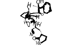 C[C@@](O)(C(=O)N1[C@H]2CC[C@@H]([C@@H]1C(=O)N[C@H](C#N)C[C@@H]1CCNC1=O)C(F)(F)C2)c1ccccc1